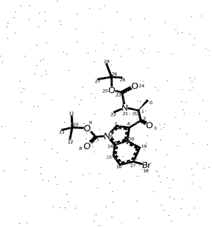 C[C@@H](C(=O)c1cn(C(=O)OC(C)(C)C)c2ccc(Br)cc12)N(C)C(=O)OC(C)(C)C